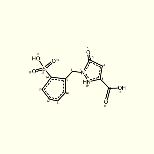 O=C(O)c1cc(=O)n(Cc2ccccc2S(=O)(=O)O)[nH]1